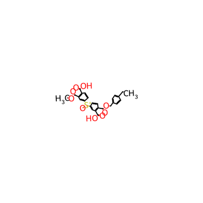 CCc1ccc(COC(=O)c2ccc([S+]([O-])c3ccc(C(=O)O)c(C(=O)OC)c3)cc2C(=O)O)cc1